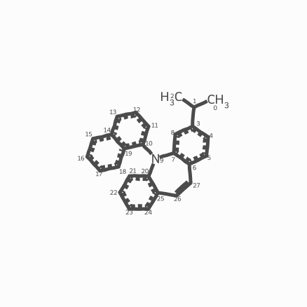 CC(C)c1ccc2c(c1)N(c1cccc3ccccc13)c1ccccc1C=C2